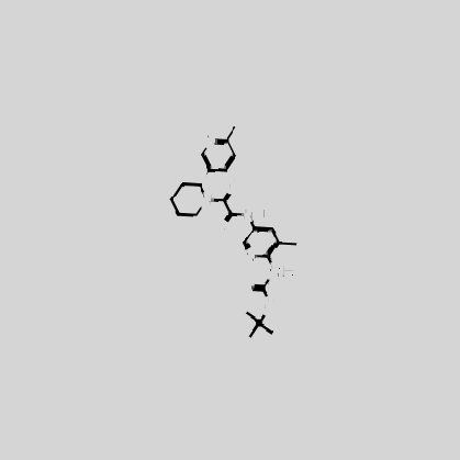 Cc1ccc([C@@H]2CC[C@@H](C)CN2C(=O)C(=O)Nc2cnc(NC(=O)OC(C)(C)C)c(C)c2)cn1